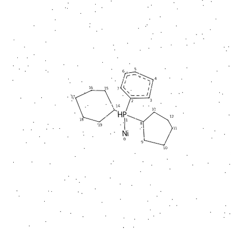 [Ni][PH](c1ccccc1)(C1CCCCC1)C1CCCCC1